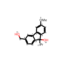 COc1ccc2c(c1)-c1cc(CO)ccc1C2(O)C(C)C